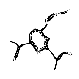 CC(=O)c1cc(N=[N+]=[N-])cc(C(C)=O)n1